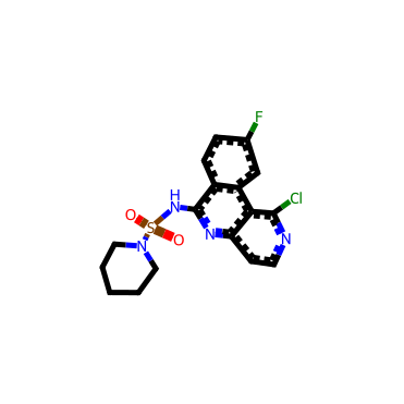 O=S(=O)(Nc1nc2ccnc(Cl)c2c2cc(F)ccc12)N1CCCCC1